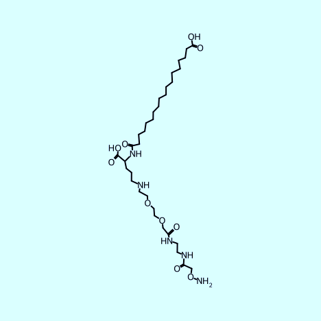 NOCC(=O)NCCNC(=O)COCCOCCNCCCC(NC(=O)CCCCCCCCCCCCCCCCC(=O)O)C(=O)O